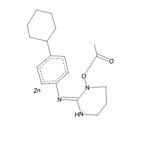 CC(=O)ON1CCCNC1=Nc1ccc(C2CCCCC2)cc1.[Zn]